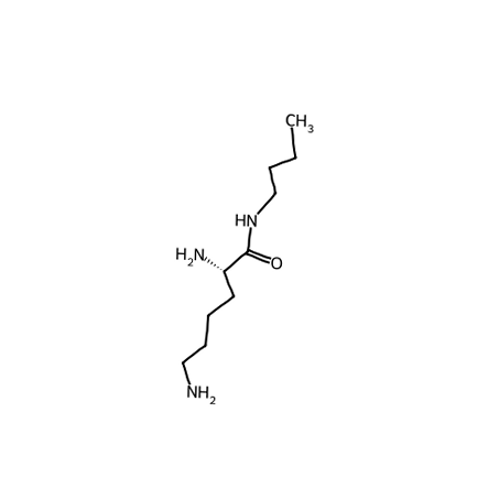 CCCCNC(=O)[C@@H](N)CCCCN